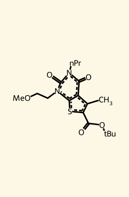 CCCn1c(=O)c2c(C)c(C(=O)OC(C)(C)C)sc2n(CCOC)c1=O